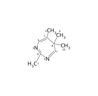 CC1=CN=C(C)N=CC1(C)C